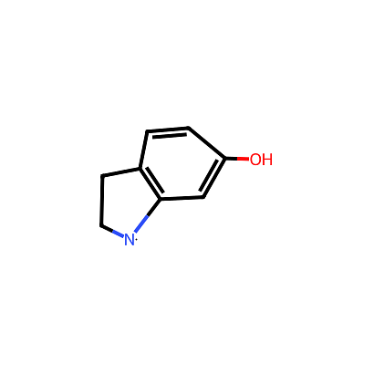 Oc1ccc2c(c1)[N]CC2